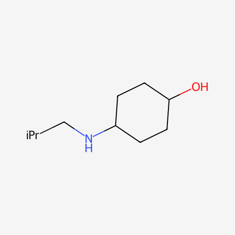 CC(C)CNC1CCC(O)CC1